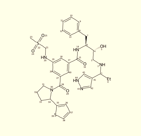 CCC(NC[C@@H](O)[C@H](Cc1ccccc1)NC(=O)c1cc(NCS(C)(=O)=O)cc(C(=O)N2CCCC2c2cccs2)c1)c1cn[nH]c1